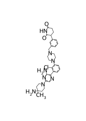 CC1(N)CCN(c2cnc(-c3cccc(N4CCN(Cc5cccc(C6CCC(=O)NC6=O)c5)CC4)c3Cl)c(N)n2)CC1